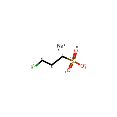 O=S(=O)([O-])CCCBr.[Na+]